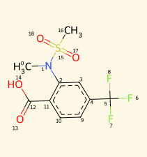 CN(c1cc(C(F)(F)F)ccc1C(=O)O)S(C)(=O)=O